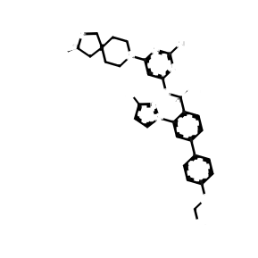 Cc1ccn(-c2cc(-c3ccc(OCC(C)(C)C)cc3)ccc2[C@@H](Oc2cc(N3CCC4(CC3)CN[C@H](C(=O)O)C4)nc(N)n2)C(F)(F)F)n1